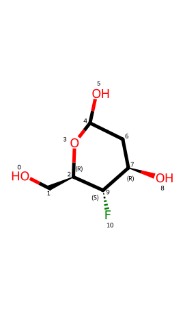 OC[C@H]1OC(O)C[C@@H](O)[C@@H]1F